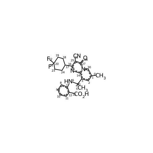 Cc1cc([C@@H](C)Nc2ccccc2C(=O)O)c2nc(C3CCC(F)(F)CC3)c(C#N)c(=O)n2c1